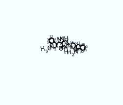 CN1CC=C(c2n[nH]c3nc(N4CCC5(CC4)Cc4ccccc4[C@H]5N)[nH]c(=O)c23)c2ccccc21